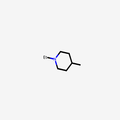 [CH2]CN1CCC(C)CC1